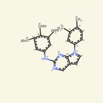 COc1cc(Nc2ncc3ccn(-c4ccc(C)c(C)c4)c3n2)cc(OC)c1OC